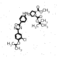 COC(=O)[C@H]1C[C@@H](Nc2ccc(-c3nc(-c4ccc(OC(C)C)c(Cl)c4)no3)cc2)CN1C(=O)OC(C)(C)C